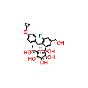 C[C@H](O)[C@H]1O[C@](O)(c2cc(CO)cc(F)c2Cc2ccc(OC3CC3)cc2)[C@H](O)[C@@H](O)[C@@H]1O